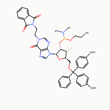 COc1ccc(C(OC[C@H]2O[C@@H](n3cnc4c(=O)n(CCN5C(=O)c6ccccc6C5=O)cnc43)[C@H](OP(OCCC#N)N(C(C)C)C(C)C)[C@@H]2F)(c2ccccc2)c2ccc(OC)cc2)cc1